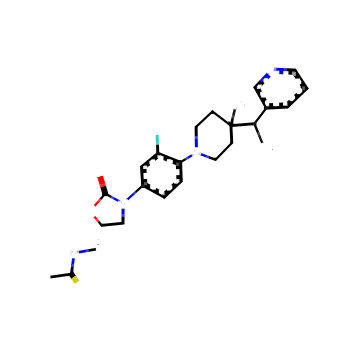 CC(=S)NC[C@H]1CN(c2ccc(N3CCC(C#N)(C(C#N)c4cccnc4)CC3)c(F)c2)C(=O)O1